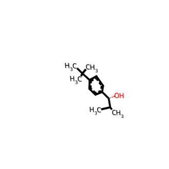 CC(C)[C@@H](O)c1ccc(C(C)(C)C)cc1